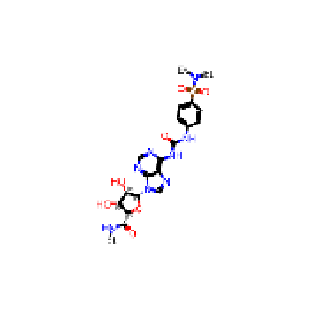 CCNC(=O)[C@H]1O[C@@H](n2cnc3c(NC(=O)Nc4ccc(S(=O)(=O)N(CC)CC)cc4)ncnc32)[C@H](O)[C@@H]1O